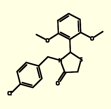 COc1cccc(OC)c1C1SCC(=O)N1Cc1ccc(Cl)cc1